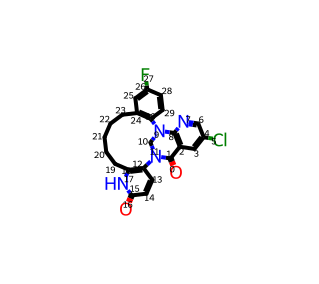 O=C1c2cc(Cl)cnc2N2CN1c1ccc(=O)[nH]c1CCCCCc1cc(F)ccc12